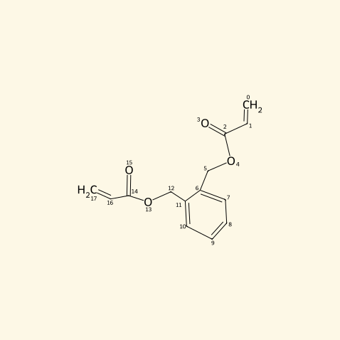 C=CC(=O)OCc1ccccc1COC(=O)C=C